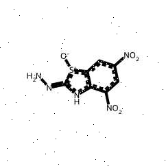 NN=c1[nH]c2c([N+](=O)[O-])cc([N+](=O)[O-])cc2[s+]1[O-]